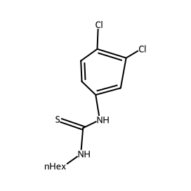 CCCCCCNC(=S)Nc1ccc(Cl)c(Cl)c1